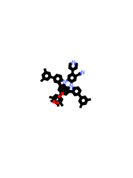 Cc1cc(C)cc(-c2ccc3c(c2)c2cc(-c4cc(C)cc(C)c4)ccc2n3-c2cc(C#N)c(-c3ccncc3)cc2-n2c3ccc(-c4cc(C)cc(C)c4)cc3c3cc(-c4cc(C)cc(C)c4)ccc32)c1